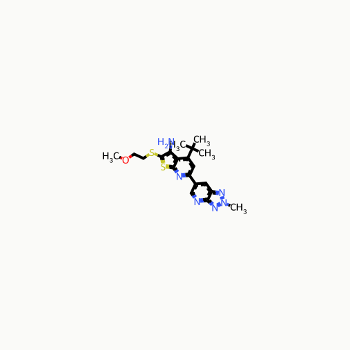 COCCSc1sc2nc(-c3cnc4nn(C)nc4c3)cc(C(C)(C)C)c2c1N